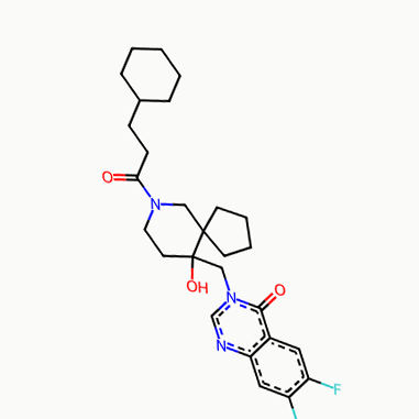 O=C(CCC1CCCCC1)N1CCC(O)(Cn2cnc3cc(F)c(F)cc3c2=O)C2(CCCC2)C1